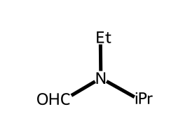 [CH2]CN(C=O)C(C)C